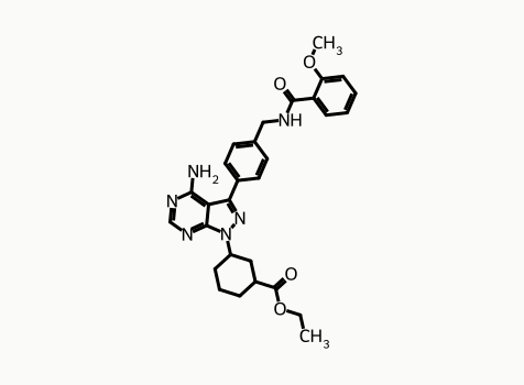 CCOC(=O)C1CCCC(n2nc(-c3ccc(CNC(=O)c4ccccc4OC)cc3)c3c(N)ncnc32)C1